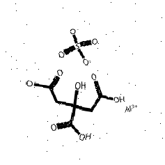 O=C([O-])CC(O)(CC(=O)O)C(=O)O.O=S(=O)([O-])[O-].[Al+3]